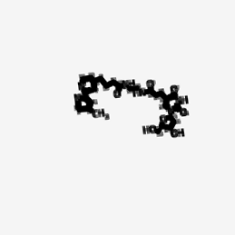 Cc1ccnc(-c2cc(CCCC(=O)NCCNC(=O)CCc3cn([C@H]4C[C@H](O)[C@@H](CO)O4)c(=O)[nH]c3=O)ccn2)c1